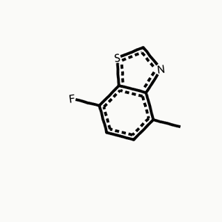 Cc1ccc(F)c2scnc12